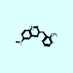 COc1ccc2c(c1)CC(Cc1ccccc1N)CN2